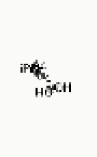 C=C1C(=CC=C2CCC[C@]3(C)C([C@H](C)ON(C(C)=O)C(C)C)=CCC23)C[C@@H](O)C[C@@H]1O